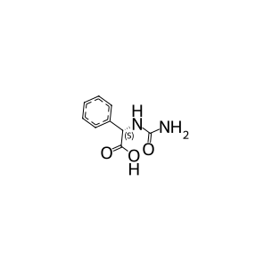 NC(=O)N[C@H](C(=O)O)c1ccccc1